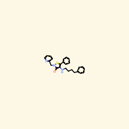 O=c1c(NCCCCc2ccccc2)c(-c2ccccc2)sn1Cc1ccccn1